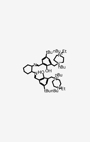 CCCC[N+]1(CC)CC[N+](CCCC)(Cc2cc(C(C)(C)C)cc(/C=N/C3CCCCC3/N=C/c3cc(C(C)(C)C)cc(C[N+]4(CCCC)CC[N+](CC)(CCCC)CC4)c3O)c2O)CC1